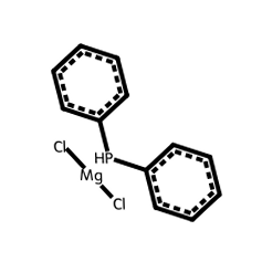 [Cl][Mg][Cl].c1ccc(Pc2ccccc2)cc1